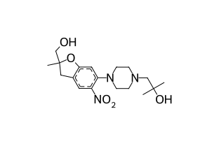 CC(C)(O)CN1CCN(c2cc3c(cc2[N+](=O)[O-])CC(C)(CO)O3)CC1